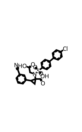 N#Cc1cccc(C2CC2(C(=O)O)N(CC(=O)O)S(=O)(=O)c2ccc(-c3ccc(Cl)cc3)cc2)c1